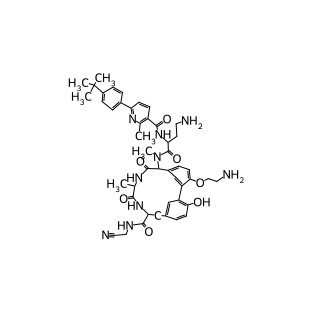 Cc1nc(-c2ccc(C(C)(C)C)cc2)ccc1C(=O)NC(CCN)C(=O)N(C)C1C(=O)NC(C)C(=O)NC(C(=O)NCC#N)Cc2ccc(O)c(c2)-c2cc1ccc2OCCN